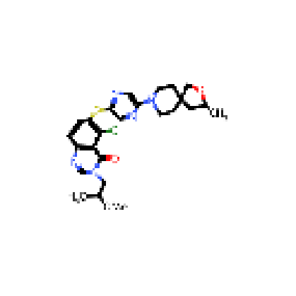 COC(C)Cn1cnc2ccc(Sc3cnc(N4CCC5(CC4)CO[C@@H](C)C5)cn3)c(Cl)c2c1=O